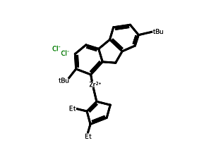 CCC1=CC[C]([Zr+2][c]2c(C(C)(C)C)ccc3c2Cc2cc(C(C)(C)C)ccc2-3)=C1CC.[Cl-].[Cl-]